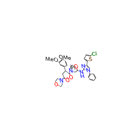 COc1ccc(C(CC(=O)N2CCOCC2)C(=O)N(CC(=O)Nc2nc(-c3ccc(Cl)s3)cn2-c2ccccc2)C(C)C)cc1OC